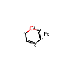 C1=CCOC=C1.[Fe]